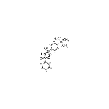 CC(C)(C)c1ccc(S(=O)(=O)NS(=O)(=O)c2ccccc2)cc1